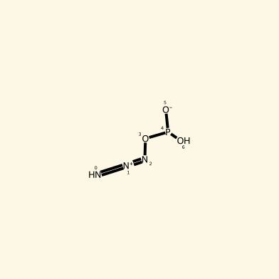 N=[N+]=NOP([O-])O